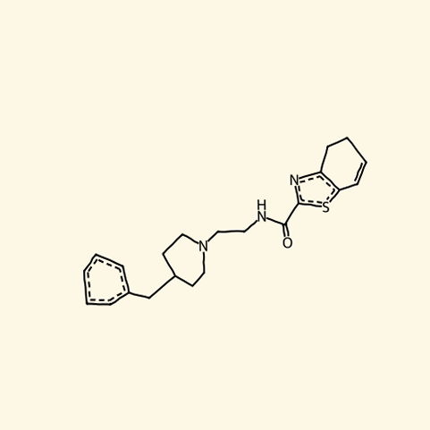 O=C(NCCN1CCC(Cc2ccccc2)CC1)c1nc2c(s1)C=CCC2